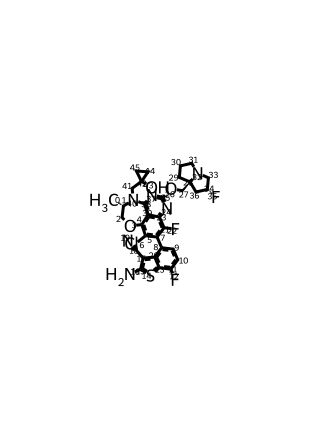 C[C@H]1COc2c(Cl)c(-c3ccc(F)c4sc(N)c(C#N)c34)c(F)c3nc(OC[C@@]45CCCN4C[C@H](F)C5)nc(c23)N1CC1(O)CC1